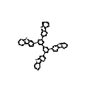 c1ccc2c(c1)sc1cc(-c3cc(-c4cc(-c5ccc6c(c5)sc5ccccc56)cc(-c5ccc6c(c5)sc5ccccc56)c4)cc(-c4ccc5c(c4)sc4ccccc45)c3)ccc12